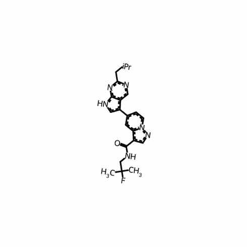 CC(C)Cc1ncc2c(-c3ccn4ncc(C(=O)NCC(C)(C)F)c4c3)c[nH]c2n1